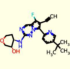 C#Cc1c(F)c2cnc(N[C@@H]3CCOC[C@H]3O)nn2c1-c1ccc(C(C)(C)C)cn1